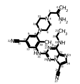 C=C(N)CN1CCN(c2cc(C#N)cc(Nc3nc(NCC)c4ncc(C#N)n4n3)c2C)CC1